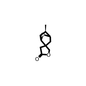 C[C@@H]1CC2OC1CC21COC(=O)C1